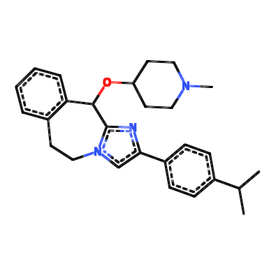 CC(C)c1ccc(-c2cn3c(n2)C(OC2CCN(C)CC2)c2ccccc2CC3)cc1